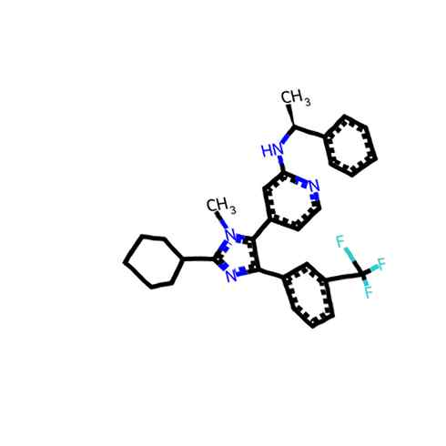 C[C@H](Nc1cc(-c2c(-c3cccc(C(F)(F)F)c3)nc(C3CCCCC3)n2C)ccn1)c1ccccc1